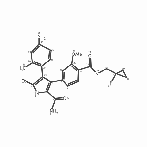 CCc1[nH]c(C(N)=O)c(-c2ccc(C(=O)NCC3(F)CC3)c(OC)c2)c1-c1ccc(N)cc1C